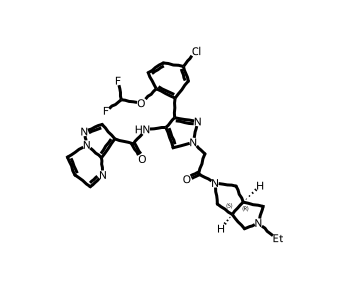 CCN1C[C@@H]2CN(C(=O)Cn3cc(NC(=O)c4cnn5cccnc45)c(-c4cc(Cl)ccc4OC(F)F)n3)C[C@@H]2C1